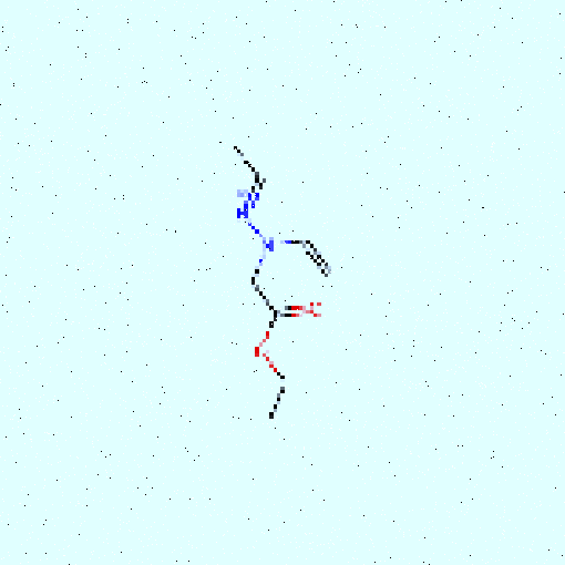 C=CN(CC(=O)OCC)/N=C/C